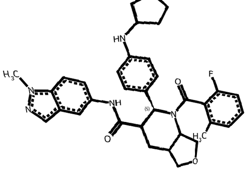 Cc1cccc(F)c1C(=O)N1C2COCC2CC(C(=O)Nc2ccc3c(cnn3C)c2)[C@H]1c1ccc(NC2CCCC2)cc1